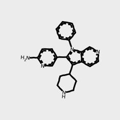 Nc1ccc(-c2c(C3CCNCC3)c3ccncc3n2-c2ccccc2)cn1